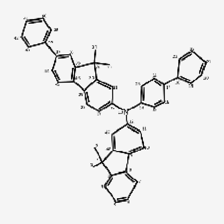 CC1(C)c2ccccc2-c2ccc(N(c3ccc(-c4ccccc4)cc3)c3ccc4c(c3)C(C)(C)c3cc(-c5ccccc5)ccc3-4)cc21